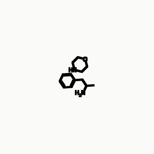 C1COCCN1.CC(N)Cc1ccccc1